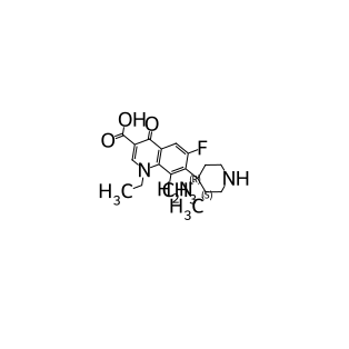 CCn1cc(C(=O)O)c(=O)c2cc(F)c([C@@]3(N)CCNC[C@@H]3C)c(C)c21